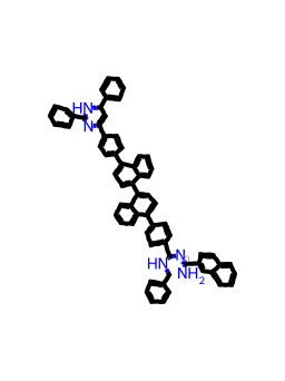 N/C(=N\C(NCc1ccccc1)c1ccc(-c2ccc(-c3ccc(-c4ccc(C5=CC(c6ccccc6)NC(c6ccccc6)=N5)cc4)c4ccccc34)c3ccccc23)cc1)c1ccc2ccccc2c1